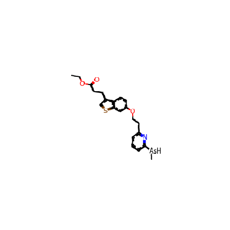 CCOC(=O)CCc1csc2cc(OCCc3cccc([AsH]C)n3)ccc12